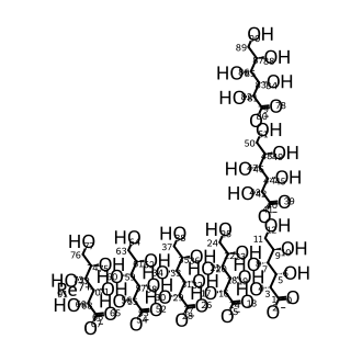 O=C([O-])[C@H](O)[C@@H](O)[C@H](O)[C@H](O)CO.O=C([O-])[C@H](O)[C@@H](O)[C@H](O)[C@H](O)CO.O=C([O-])[C@H](O)[C@@H](O)[C@H](O)[C@H](O)CO.O=C([O-])[C@H](O)[C@@H](O)[C@H](O)[C@H](O)CO.O=C([O-])[C@H](O)[C@@H](O)[C@H](O)[C@H](O)CO.O=C([O-])[C@H](O)[C@@H](O)[C@H](O)[C@H](O)CO.O=C([O-])[C@H](O)[C@@H](O)[C@H](O)[C@H](O)CO.[Re+7]